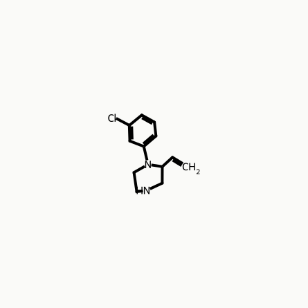 C=CC1CNCCN1c1cccc(Cl)c1